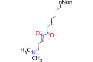 CCCCCCCCCCCCCCCC(=O)[NH+]([O-])CCCN(C)C